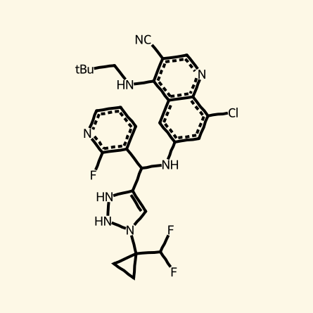 CC(C)(C)CNc1c(C#N)cnc2c(Cl)cc(NC(C3=CN(C4(C(F)F)CC4)NN3)c3cccnc3F)cc12